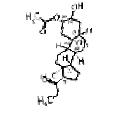 CCC(=O)[C@H]1CC[C@H]2[C@@H]3CC[C@H]4C[C@H](O)[C@@H](OC(C)=O)C[C@]4(C)[C@H]3CC[C@]12C